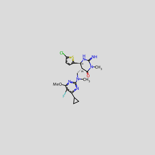 COc1nc(N(C)C[C@H]2C(=O)N(C)C(=N)N[C@@H]2c2ccc(Cl)s2)nc(C2CC2)c1F